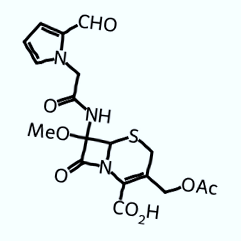 COC1(NC(=O)Cn2cccc2C=O)C(=O)N2C(C(=O)O)=C(COC(C)=O)CSC21